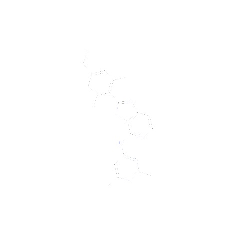 Cc1cc(Nc2nccc3nc(-c4c(Cl)cc(CN)cc4Cl)[nH]c23)nc(C)n1